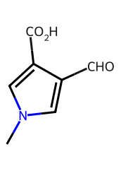 Cn1cc(C=O)c(C(=O)O)c1